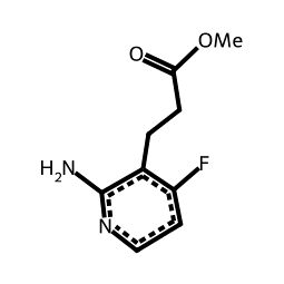 COC(=O)CCc1c(F)ccnc1N